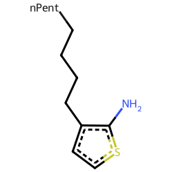 CCCCCCCCCc1ccsc1N